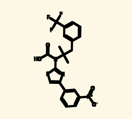 CC(C)(Cc1cccc(C(F)(F)F)c1)N(C(=O)O)c1nc(-c2cccc([N+](=O)[O-])c2)cs1